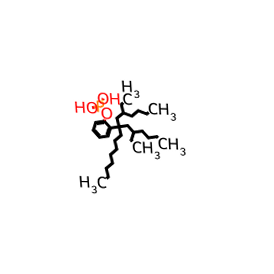 CCCCCCCCC(CC(CC)CCCC)(CC(CC)CCCC)c1ccccc1OP(O)O